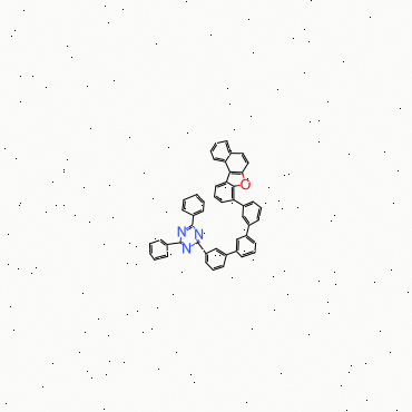 c1ccc(-c2nc(-c3ccccc3)nc(-c3cccc(-c4cccc(-c5cccc(-c6cccc7c6oc6ccc8ccccc8c67)c5)c4)c3)n2)cc1